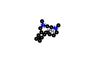 CC1(C)c2cc(-c3cccc(-c4cccc(-c5nc(-c6ccccc6)nc(-c6ccc(-c7ccc(-c8nc(-c9ccccc9)nc(-c9cccc(-c%10cccc(-c%11ccc%12c(c%11)C(c%11ccccc%11)(c%11ccccc%11)c%11ccccc%11-%12)c%10)c9)n8)cc7)cc6)n5)c4)c3)ccc2-c2c1ccc1ccccc21